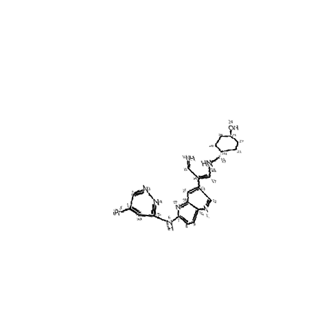 CC(C)c1cnnc(Nc2ccc3ncc(/C(C=N)=C/NC[C@H]4CC[C@H](O)CC4)cc3n2)c1